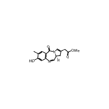 COC(=O)CC1=CN2C(=O)c3cc(C)c(O)cc3N=C[C@@H]2C1